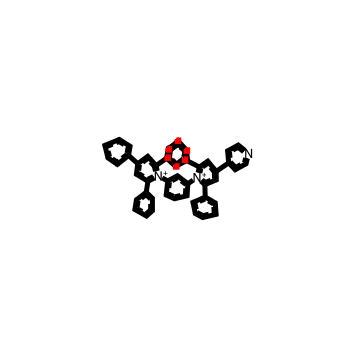 c1ccc(-c2cc(-c3ccccc3)[n+](-c3cccc(-[n+]4c(-c5ccccc5)cc(-c5ccncc5)cc4-c4ccccc4)c3)c(-c3ccccc3)c2)cc1